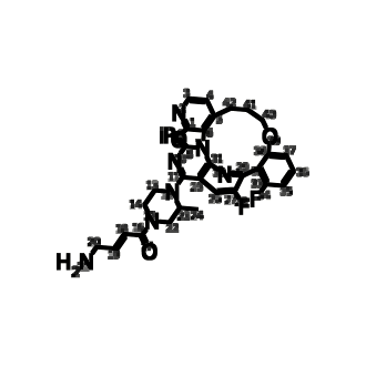 CC(C)c1nccc2c1-n1c(=O)nc(N3CCN(C(=O)/C=C/CN)CC3C)c3cc(F)c(nc31)-c1c(F)cccc1OCCC2